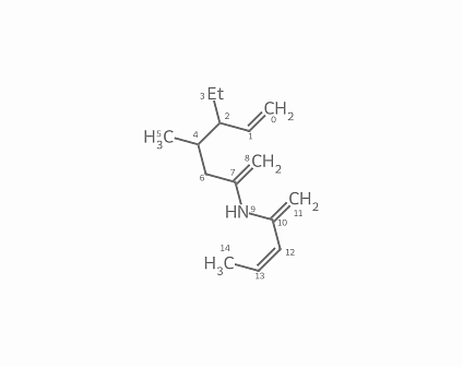 C=CC(CC)C(C)CC(=C)NC(=C)/C=C\C